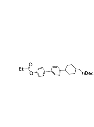 CCCCCCCCCCCC1CCC(c2ccc(-c3ccc(OC(=O)CC)cc3)cc2)CC1